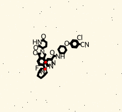 N#Cc1ccc(OC2CCC(NC(=O)c3ccc(N4CC5CCC(C4)N5Cc4cc5c(cc4F)C(=O)N(C4CCC(=O)NC4=O)C5)nn3)CC2)cc1Cl